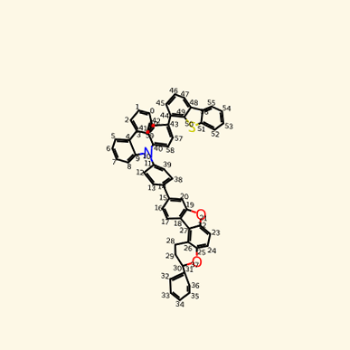 c1ccc(-c2ccccc2N(c2ccc(-c3ccc4c(c3)oc3ccc5c(c34)CCC(c3ccccc3)O5)cc2)c2ccc(-c3cccc4c3sc3ccccc34)cc2)cc1